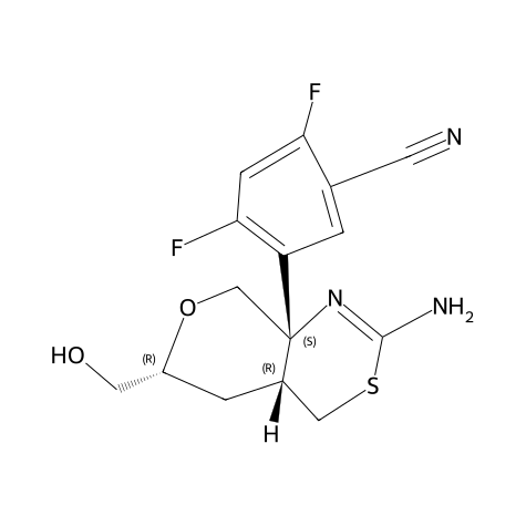 N#Cc1cc([C@]23CO[C@@H](CO)C[C@H]2CSC(N)=N3)c(F)cc1F